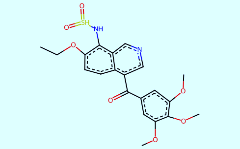 CCOc1ccc2c(C(=O)c3cc(OC)c(OC)c(OC)c3)cncc2c1N[SH](=O)=O